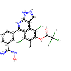 Cc1c(OC(=O)C(F)(F)F)c(F)c2c(c(-c3cccc(C(=N)NO)c3)nc3[nH]ncc32)c1F